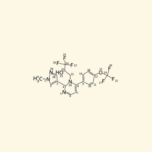 Cn1cc(C2N=CC=C(c3ccc(OC(F)(F)F)cc3)N2C[C@H](O)C(F)(F)F)cn1